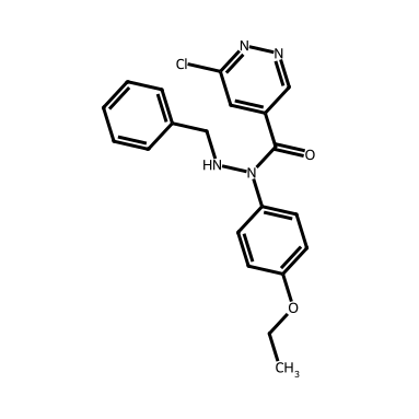 CCOc1ccc(N(NCc2ccccc2)C(=O)c2cnnc(Cl)c2)cc1